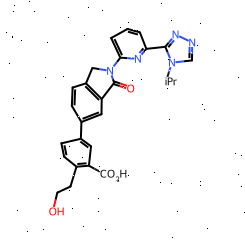 CC(C)n1cnnc1-c1cccc(N2Cc3ccc(-c4ccc(CCO)c(C(=O)O)c4)cc3C2=O)n1